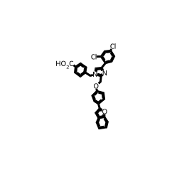 O=C(O)c1ccc(Cn2cc(-c3ccc(Cl)cc3Cl)nc2COc2ccc(-c3cc4ccccc4o3)cc2)cc1